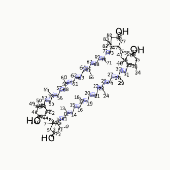 CC1=C[C@H](O)CC(C)(C)[C@H]1/C=C/C(C)=C/C=C/C(C)=C/C=C/C=C(C)/C=C/C=C(C)/C=C/C1=C(C)C[C@@H](O)CC1(C)C.CC1=C[C@H](O)CC(C)(C)[C@H]1/C=C/C(C)=C/C=C/C(C)=C/C=C/C=C(C)/C=C/C=C(C)/C=C/C1=C(C)C[C@@H](O)CC1(C)C